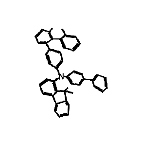 Cc1ccccc1-c1c(C)cccc1-c1ccc(N(c2ccc(-c3ccccc3)cc2)c2cccc3c2C(C)(C)c2ccccc2-3)cc1